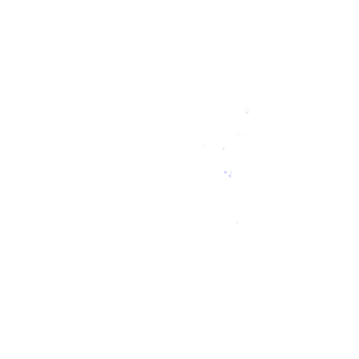 CC(C)(C)OC(=O)N1CCC2(CC2)/C(=C/CCCO)C1